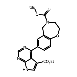 CCOC(=O)c1c[nH]c2ncnc(-c3ccc4c(c3)CN(C(=O)OC(C)(C)C)CCO4)c12